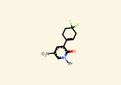 CC(C)n1cc([N+](=O)[O-])cc(C2=CCC(F)(F)CC2)c1=O